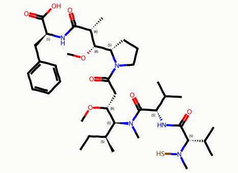 CC[C@H](C)[C@@H]([C@@H](CC(=O)N1CCC[C@H]1[C@H](OC)[C@@H](C)C(=O)N[C@@H](Cc1ccccc1)C(=O)O)OC)N(C)C(=O)[C@@H](NC(=O)[C@H](C(C)C)N(C)S)C(C)C